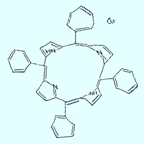 C1=Cc2nc1c(-c1ccccc1)c1ccc([nH]1)c(-c1ccccc1)c1nc(c(-c3ccccc3)c3ccc([nH]3)c2-c2ccccc2)C=C1.[Cu]